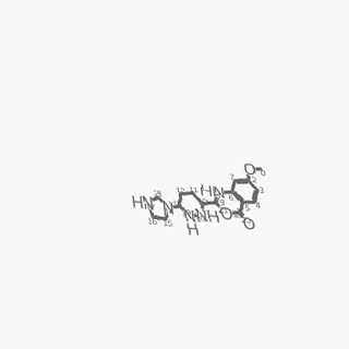 COc1ccc2c(c1)NC(C1CCC(N3CCNC3)NN1)OC2=O